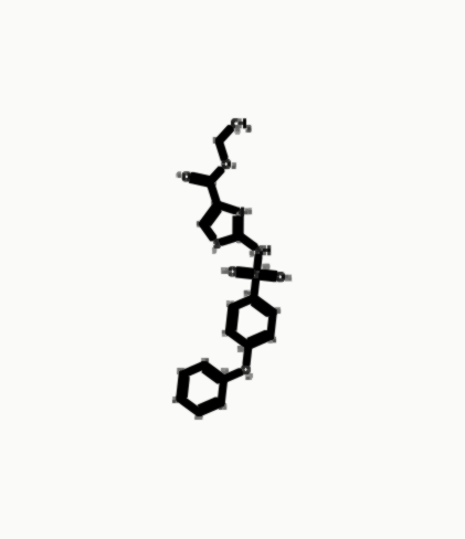 CCOC(=O)c1csc(NS(=O)(=O)c2ccc(Oc3ccccc3)cc2)n1